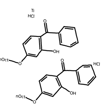 CCCCCCCCOc1ccc(C(=O)c2ccccc2)c(O)c1.CCCCCCCCOc1ccc(C(=O)c2ccccc2)c(O)c1.Cl.Cl.[Ti]